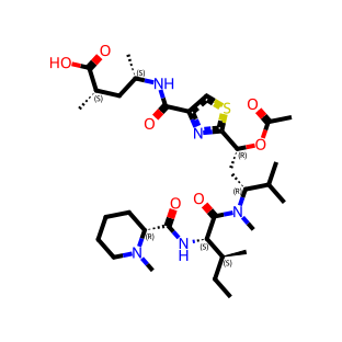 CC[C@H](C)[C@H](NC(=O)[C@H]1CCCCN1C)C(=O)N(C)[C@H](C[C@@H](OC(C)=O)c1nc(C(=O)N[C@@H](C)C[C@H](C)C(=O)O)cs1)C(C)C